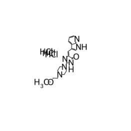 COCCN1CCN(C2=NC(=Cc3c[nH]c4ncccc34)C(=O)N2)CC1.Cl.Cl.Cl